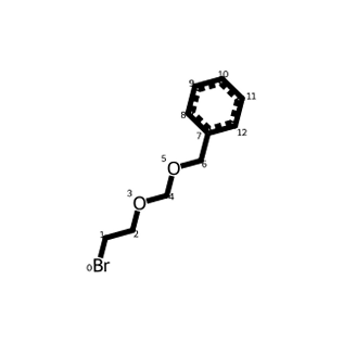 BrCCOCOCc1ccccc1